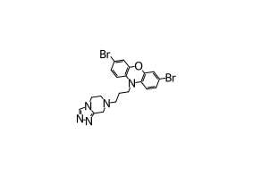 Brc1ccc2c(c1)Oc1cc(Br)ccc1N2CCCN1CCn2cnnc2C1